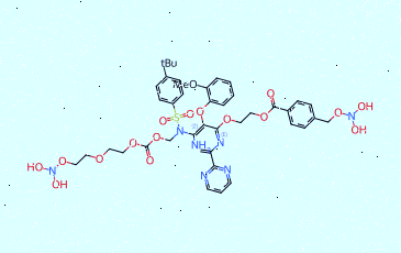 C=C(/N=C(OCCOC(=O)c1ccc(CON(O)O)cc1)\C(Oc1ccccc1OC)=C(/N)N(COC(=O)OCCOCCON(O)O)S(=O)(=O)c1ccc(C(C)(C)C)cc1)c1ncccn1